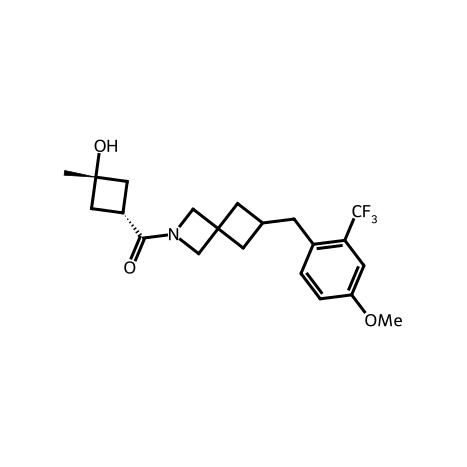 COc1ccc(CC2CC3(C2)CN(C(=O)[C@H]2C[C@@](C)(O)C2)C3)c(C(F)(F)F)c1